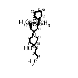 CCCCC1(O)CCN(C(C=C(C)C)CC(C)(C)c2ccccc2)CC1